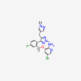 CCn1cc(Cc2nn(C)nc2-c2ccc(F)cc2[C@H](C)Oc2cc(Br)cnc2N)cn1